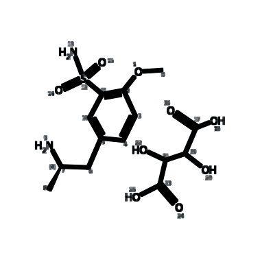 COc1ccc(C[C@@H](C)N)cc1S(N)(=O)=O.O=C(O)C(O)C(O)C(=O)O